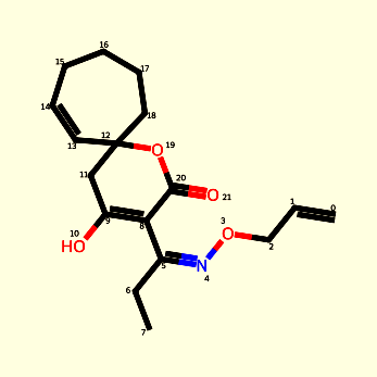 C=CCO/N=C(/CC)C1=C(O)CC2(C=CCCCC2)OC1=O